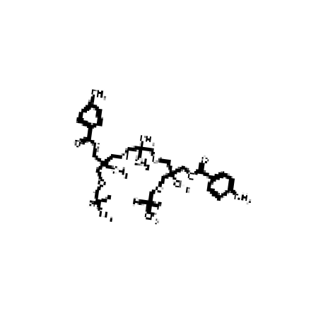 Cc1ccc(C(=O)OCC(C)(COCC(C)(C)COCC(C)(COCC(F)(F)C(F)(F)F)COC(=O)c2ccc(N)cc2)COCC(F)(F)C(F)(F)F)cc1